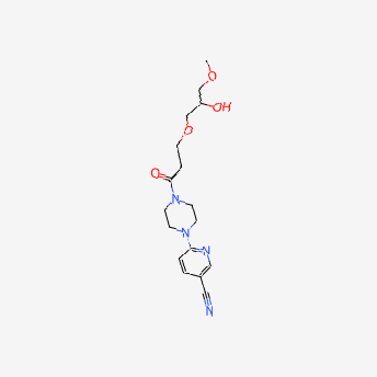 COCC(O)COCCC(=O)N1CCN(c2ccc(C#N)cn2)CC1